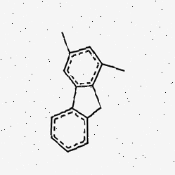 Cc1cc(C)c2c(c1)-c1ccccc1C2